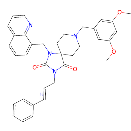 COc1cc(CN2CCC3(CC2)C(=O)N(C/C=C/c2ccccc2)C(=O)N3Cc2cccc3cccnc23)cc(OC)c1